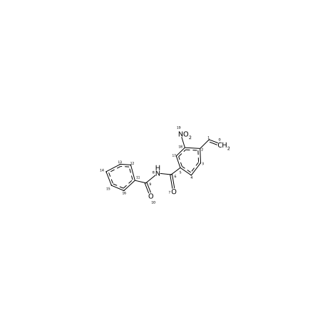 C=Cc1ccc(C(=O)NC(=O)c2ccccc2)cc1[N+](=O)[O-]